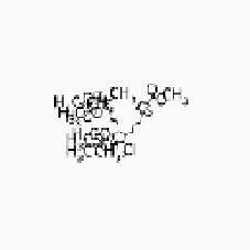 CCC1(C(C/C=C/[C@@H]2[C@@H](CCCc3ccc(C(=O)OC)s3)[C@H](Cl)C[C@H]2O[Si](C)(C)C(C)(C)C)O[Si](C)(C)C(C)(C)C)CCC1